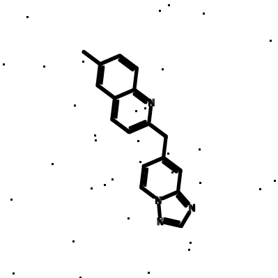 Cc1ccc2nc(Cc3ccn4ncnc4c3)ccc2c1